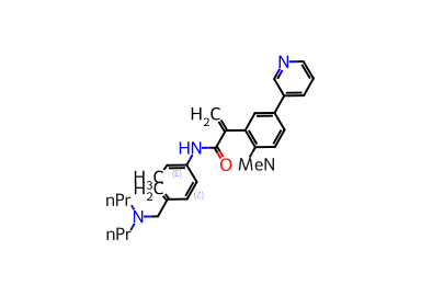 C=C(/C=C\C(=C/C)NC(=O)C(=C)c1cc(-c2cccnc2)ccc1NC)CN(CCC)CCC